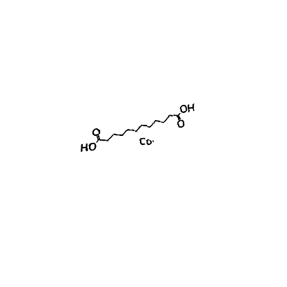 O=C(O)CCCCCCCCCCC(=O)O.[Co]